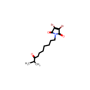 CC(C)C(=O)CCCCCCCN1C(=O)C(Br)=C(Br)C1=O